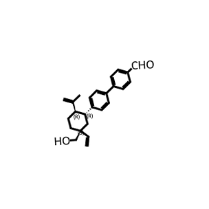 C=C[C@]1(CO)CC[C@@H](C(=C)C)[C@H](c2ccc(-c3ccc(C=O)cc3)cc2)C1